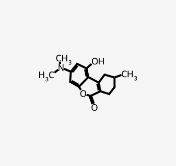 CC1CCc2c(c3c(O)cc(N(C)C)cc3oc2=O)C1